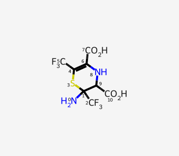 NC1(C(F)(F)F)SC(C(F)(F)F)=C(C(=O)O)NC1C(=O)O